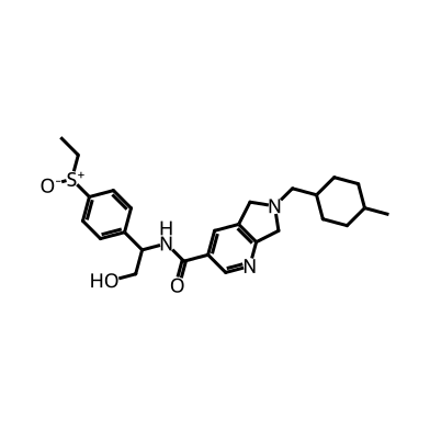 CC[S+]([O-])c1ccc(C(CO)NC(=O)c2cnc3c(c2)CN(CC2CCC(C)CC2)C3)cc1